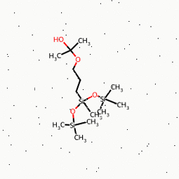 CC(C)(O)OCCC[Si](C)(O[Si](C)(C)C)O[Si](C)(C)C